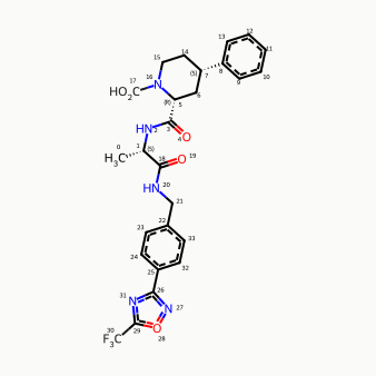 C[C@H](NC(=O)[C@H]1C[C@@H](c2ccccc2)CCN1C(=O)O)C(=O)NCc1ccc(-c2noc(C(F)(F)F)n2)cc1